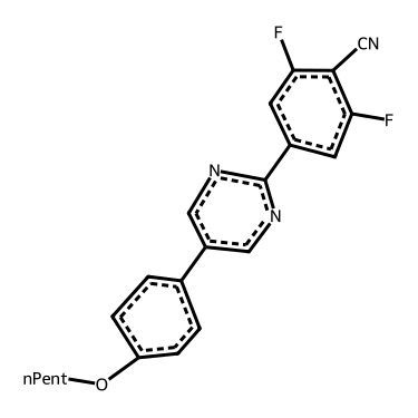 CCCCCOc1ccc(-c2cnc(-c3cc(F)c(C#N)c(F)c3)nc2)cc1